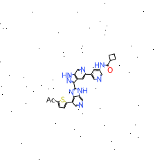 CC(=O)c1ccc(-c2cncc3[nH]c(-c4n[nH]c5cnc(-c6cncc(NC(=O)C7CCC7)c6)cc45)nc23)s1